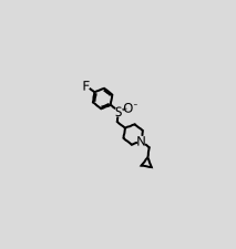 [O-][S+](CC1CCN(CC2CC2)CC1)c1ccc(F)cc1